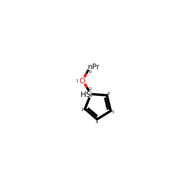 CCCO[SiH]1C=CC=C1